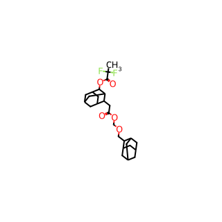 CC(F)(F)C(=O)OC1C2CC3CC(C2)C(CC(=O)OCOCC2C4CC5CC(C4)CC2C5)C1C3